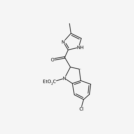 CCOC(=O)N1c2cc(Cl)ccc2[CH]C1C(=O)c1nc(C)c[nH]1